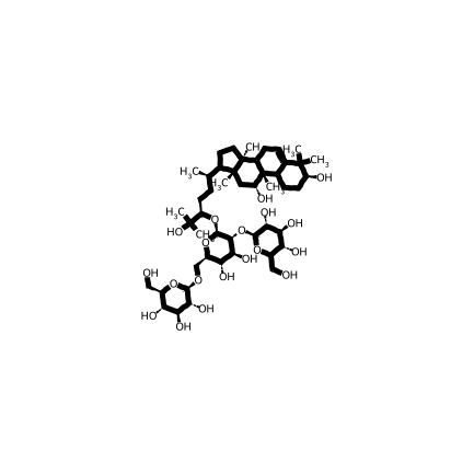 C[C@H](CC[C@@H](O[C@@H]1O[C@H](CO[C@@H]2O[C@H](CO)[C@@H](O)[C@H](O)[C@H]2O)[C@@H](O)[C@H](O)[C@H]1O[C@@H]1OC(CO)[C@@H](O)[C@H](O)[C@H]1O)C(C)(C)O)C1CC[C@@]2(C)C3CC=C4C(CC[C@H](O)C4(C)C)[C@]3(C)[C@H](O)C[C@]12C